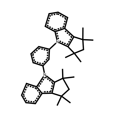 CC1(C)CC(C)(C)c2c1c1ccccc1n2-c1cccc(-n2c3c(c4ccccc42)C(C)(C)CC3(C)C)c1